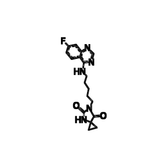 O=C1NC2(CC2)C(=O)N1CCCCCNc1ncnc2cc(F)ccc12